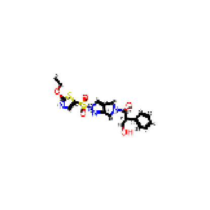 CCOc1ncc(S(=O)(=O)n2cc3c(n2)CN(C(=O)C(CO)c2ccccc2)C3)s1